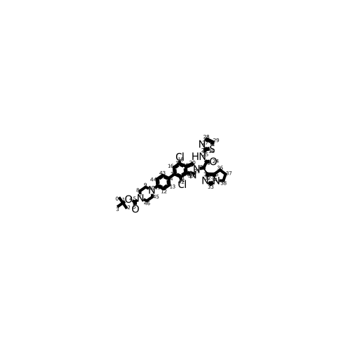 CC(C)(C)OC(=O)N1CCN(c2ccc(-c3cc(Cl)c4cn([C@@H](C(=O)Nc5nccs5)c5ncn6c5CCC6)nc4c3Cl)cc2)CC1